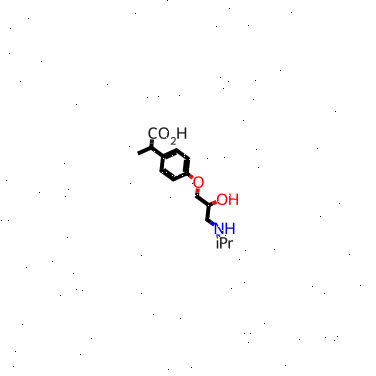 CC(C)NCC(O)COc1ccc(C(C)C(=O)O)cc1